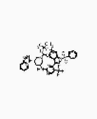 CC(C)(C)OC(=O)N1C[C@@H](Nc2ncc(C(F)(F)F)c(-c3cn(S(=O)(=O)c4ccccc4)c4ccccc34)n2)C[C@@H](c2nnc3ccccn23)C1